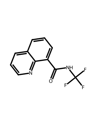 O=C(NC(F)(F)F)c1cccc2cccnc12